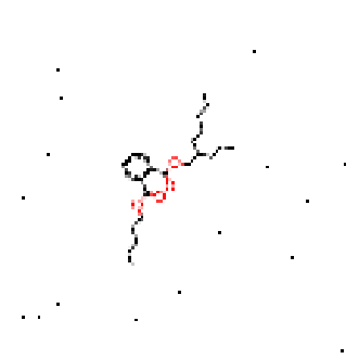 CCCCCOC(=O)c1ccccc1C(=O)OCC(CCC)CCCCC